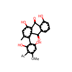 COc1cc(O)c(-c2c(C)cc(O)c3c2C(=O)c2cccc(O)c2C3=O)c(O)c1C(C)=O